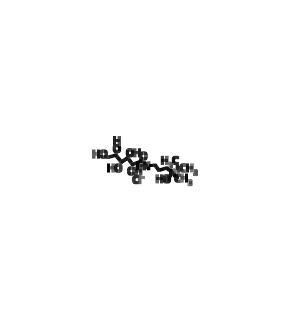 CC(C)[N+](C)(O)CCCNC(=O)[C@H](O)[C@@H](O)[C@H](O)[C@H](O)CO.[Cl-]